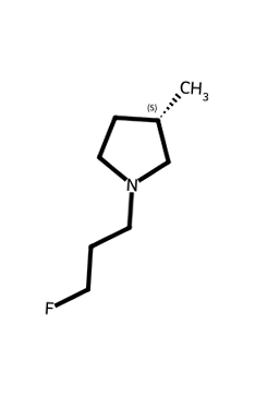 C[C@H]1CCN(CCCF)C1